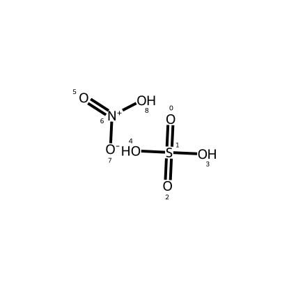 O=S(=O)(O)O.O=[N+]([O-])O